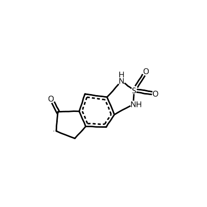 O=C1[CH]Cc2cc3c(cc21)NS(=O)(=O)N3